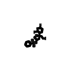 O=S(=O)(OC1COC(CCI)(c2ccc(F)cc2F)C1)c1ccccc1